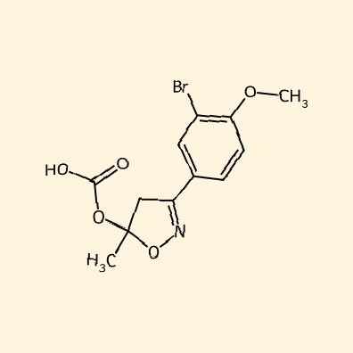 COc1ccc(C2=NOC(C)(OC(=O)O)C2)cc1Br